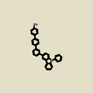 CC(C)c1ccc(-c2ccc(-c3cccc(-c4ccc5c(c4)c4ccccc4n5-c4ccccc4)c3)cc2)cc1